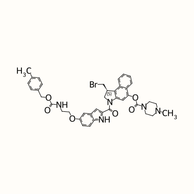 Cc1ccc(COC(=O)NCCOc2ccc3[nH]c(C(=O)N4C[C@@H](CBr)c5c4cc(OC(=O)N4CCN(C)CC4)c4ccccc54)cc3c2)cc1